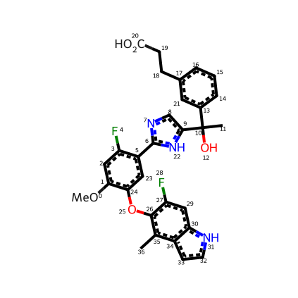 COc1cc(F)c(-c2ncc(C(C)(O)c3cccc(CCC(=O)O)c3)[nH]2)cc1Oc1c(F)cc2[nH]ccc2c1C